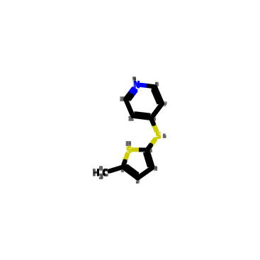 Cc1ccc(Sc2ccncc2)s1